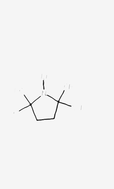 CCN1C(C)(C)CCC1(C)C